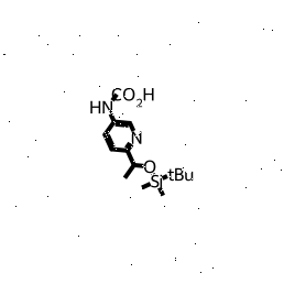 CC(O[Si](C)(C)C(C)(C)C)c1ccc(NC(=O)O)cn1